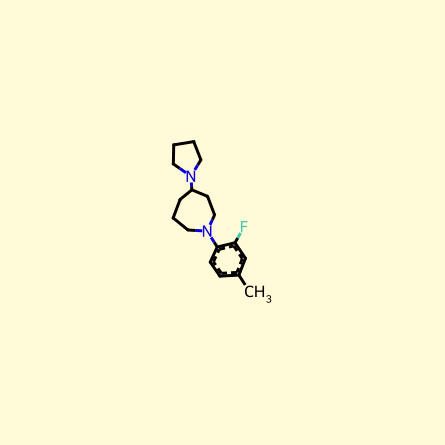 Cc1ccc(N2CCCC(N3CCCC3)CC2)c(F)c1